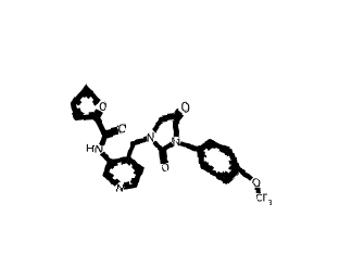 O=C(Nc1cnccc1CN1CC(=O)N(c2ccc(OC(F)(F)F)cc2)C1=O)c1ccco1